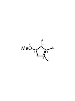 COC1CC(C)=C(C)C1C